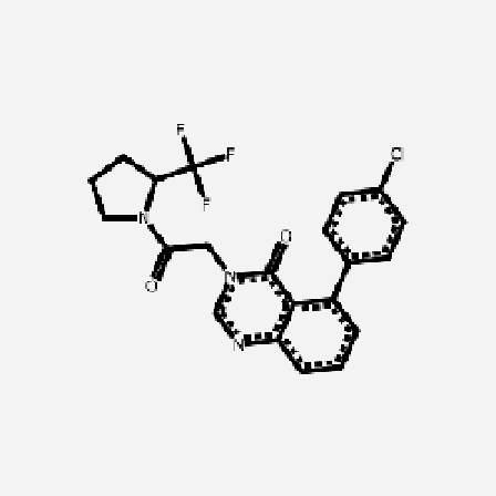 O=C(Cn1cnc2cccc(-c3ccc(Cl)cc3)c2c1=O)N1CCCC1C(F)(F)F